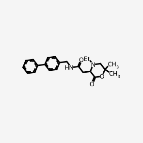 CCN1CC(C)(C)OC(=O)C1CC(=O)NCc1ccc(-c2ccccc2)cc1